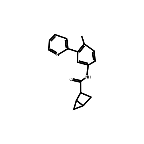 Cc1ccc(NC(=O)C2CC3CC32)cc1-c1ccccn1